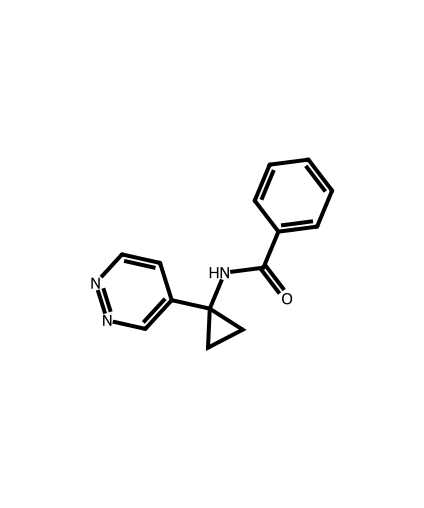 O=C(NC1(c2ccnnc2)CC1)c1ccccc1